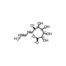 O=C1OP(N=PNP)C(=O)C(O)C(O)C(O)C1O